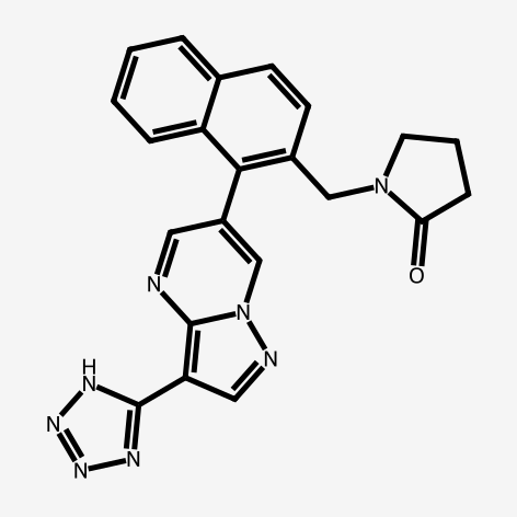 O=C1CCCN1Cc1ccc2ccccc2c1-c1cnc2c(-c3nnn[nH]3)cnn2c1